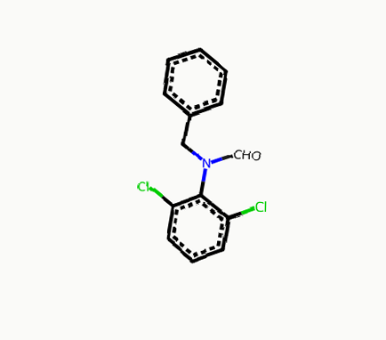 O=CN(Cc1ccccc1)c1c(Cl)cccc1Cl